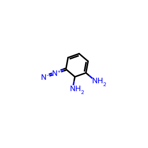 [N-]=[N+]=C1C=CC=C(N)C1N